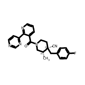 C[C@@H]1CN(C(=O)c2cccnc2-c2ccncn2)CC[C@@]1(C#N)Cc1ccc(F)cc1